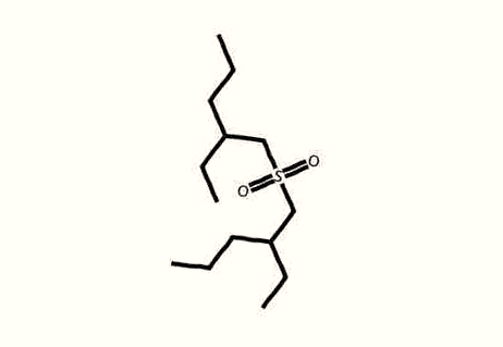 CCCC(CC)CS(=O)(=O)CC(CC)CCC